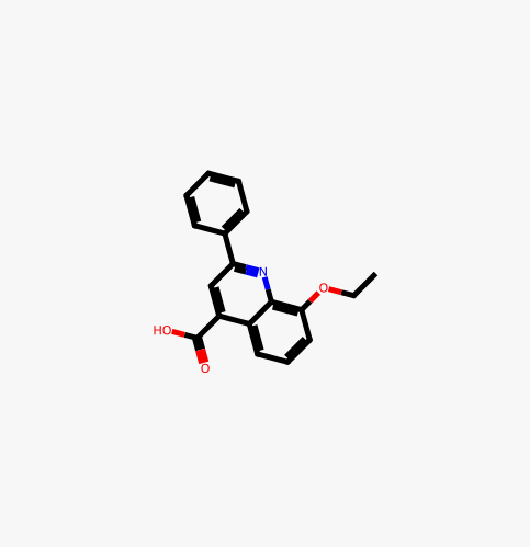 CCOc1cccc2c(C(=O)O)cc(-c3ccccc3)nc12